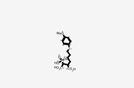 COc1ccc(SCCCCC(C(=O)O)C(C(=O)O)P(=O)(O)O)cc1